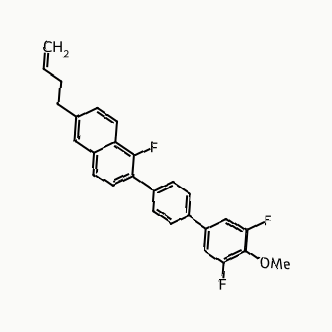 C=CCCc1ccc2c(F)c(-c3ccc(-c4cc(F)c(OC)c(F)c4)cc3)ccc2c1